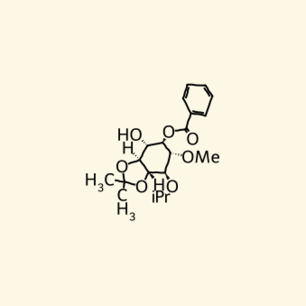 CO[C@@H]1[C@@H](OC(C)C)[C@@H]2OC(C)(C)O[C@H]2[C@H](O)[C@H]1OC(=O)c1ccccc1